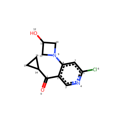 O=C(c1cnc(Cl)cc1N1CC(O)C1)C1CC1